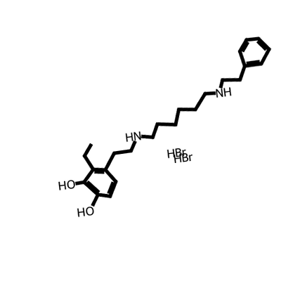 Br.Br.CCc1c(CCNCCCCCCNCCc2ccccc2)ccc(O)c1O